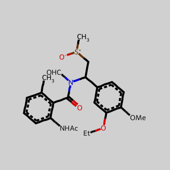 CCOc1cc(C(C[S+](C)[O-])N(C=O)C(=O)c2c(C)cccc2NC(C)=O)ccc1OC